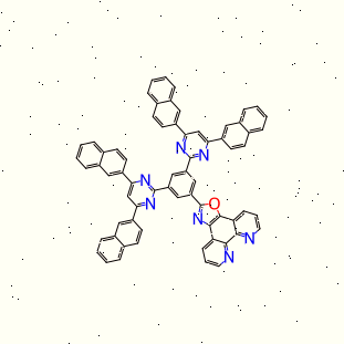 c1ccc2cc(-c3cc(-c4ccc5ccccc5c4)nc(-c4cc(-c5nc(-c6ccc7ccccc7c6)cc(-c6ccc7ccccc7c6)n5)cc(-c5nc6c7cccnc7c7ncccc7c6o5)c4)n3)ccc2c1